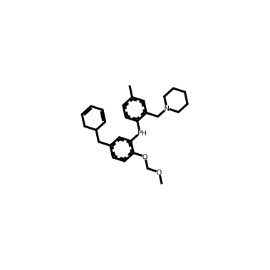 COCOc1ccc(CC2C=CC=CC2)cc1Pc1ccc(C)cc1CN1CCCCC1